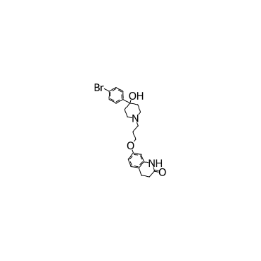 O=C1CCc2ccc(OCCCN3CCC(O)(c4ccc(Br)cc4)CC3)cc2N1